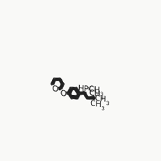 CPC(CC(C)(C)C)c1ccc(OC2CCCCO2)cc1